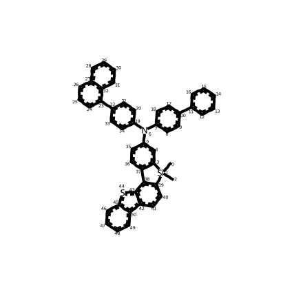 C[Si]1(C)c2cc(N(c3ccc(-c4ccccc4)cc3)c3ccc(-c4cccc5ccccc45)cc3)ccc2-c2c1ccc1c2sc2ccccc21